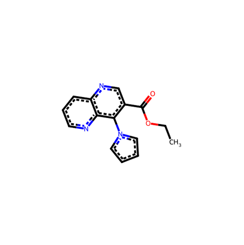 CCOC(=O)c1cnc2cccnc2c1-n1cccc1